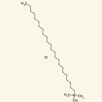 CCCCCCCCCCCCCCCCCCCCCCCC[N+](C)(C)C.[Cl-]